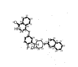 O=c1[nH]nc(Cc2ccc(F)c([PH]3(O)CCN(c4ncc5ccccc5n4)CC3)c2)c2ccccc12